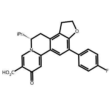 CC(C)[C@@H]1Cc2c(cc(-c3ccc(F)cc3)c3c2CCO3)-c2cc(=O)c(C(=O)O)cn21